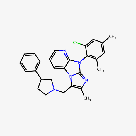 Cc1cc(C)c(-n2c3ncccc3n3c(CN4CCC(c5ccccc5)C4)c(C)nc23)c(Cl)c1